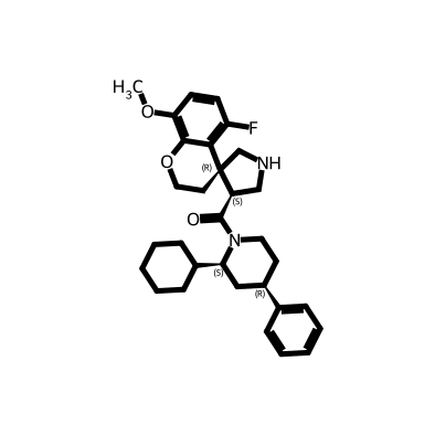 COc1ccc(F)c2c1OCC[C@]21CNC[C@H]1C(=O)N1CC[C@@H](c2ccccc2)C[C@H]1C1CCCCC1